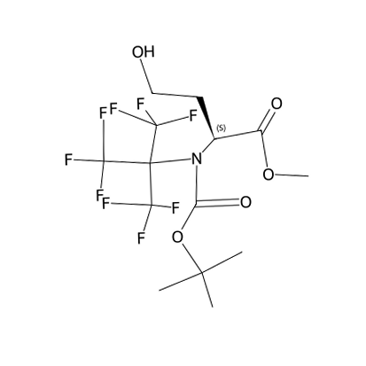 COC(=O)[C@H](CCO)N(C(=O)OC(C)(C)C)C(C(F)(F)F)(C(F)(F)F)C(F)(F)F